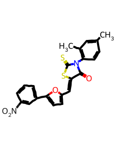 Cc1ccc(N2C(=O)C(=Cc3ccc(-c4cccc([N+](=O)[O-])c4)o3)SC2=S)c(C)c1